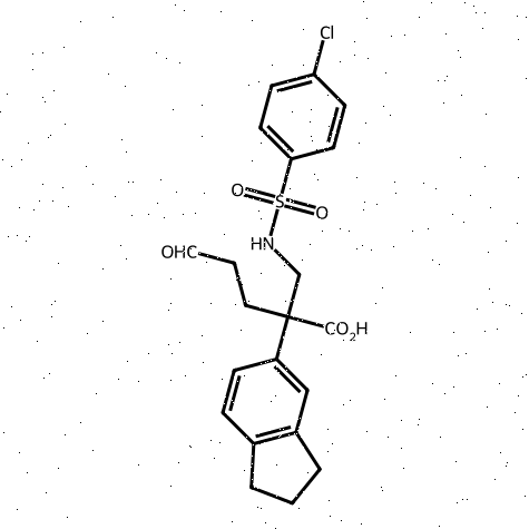 O=CCCC(CNS(=O)(=O)c1ccc(Cl)cc1)(C(=O)O)c1ccc2c(c1)CCC2